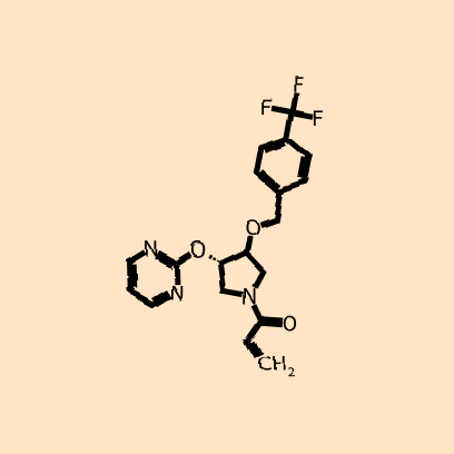 C=CC(=O)N1CC(OCc2ccc(C(F)(F)F)cc2)[C@@H](Oc2ncccn2)C1